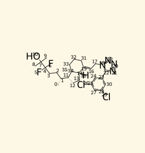 C[C@H](CCC(F)(F)C(C)(C)O)[C@H]1CC[C@H]2/C(=C/Cn3nnnc3-c3cc(Cl)cc(Cl)c3)CCC[C@]12C